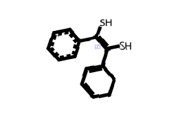 S/C(C1=CC=CCC1)=C(\S)c1ccccc1